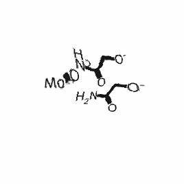 NC(=O)C[O-].NC(=O)C[O-].[O]=[Mo+2]